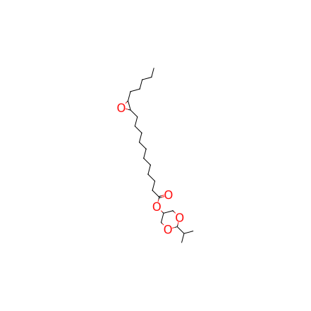 CCCCCC1OC1CCCCCCCCCCC(=O)OC1COC(C(C)C)OC1